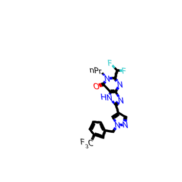 CCCn1c(C(F)F)nc2nc(-c3cnn(Cc4cccc(C(F)(F)F)c4)c3)[nH]c2c1=O